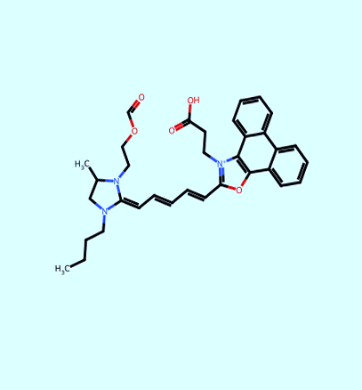 CCCCN1CC(C)N(CCOC=O)\C1=C/C=C/C=C/c1oc2c3ccccc3c3ccccc3c2[n+]1CCC(=O)O